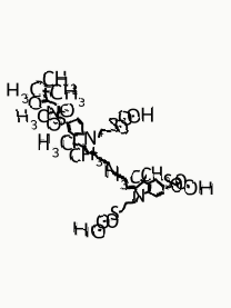 CN(CC(=O)C(C)(C)C)S(=O)(=O)c1ccc2c(c1)C(C)(C)C(/C=C/C=C/C=C/C=C1/N(CCCSOOO)c3ccc(SOOO)cc3C1(C)C)=[N+]2CCCSOOO